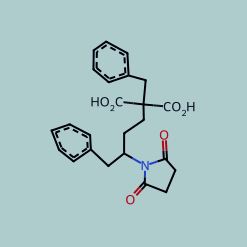 O=C1CCC(=O)N1C(CCC(Cc1ccccc1)(C(=O)O)C(=O)O)Cc1ccccc1